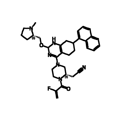 C=C(F)C(=O)N1CCN(C2=NC(OC[C@@H]3CCCN3C)NC3=C2CCC(c2cccc4ccccc24)C3)C[C@@H]1CC#N